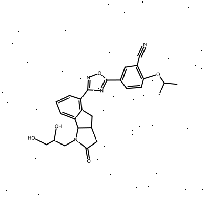 CC(C)Oc1ccc(-c2nc(-c3cccc4c3CC3CC(=O)N(CC(O)CO)C43)no2)cc1C#N